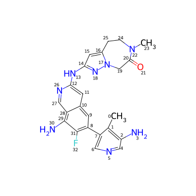 Cc1c(N)cncc1-c1cc2cc(Nc3cc4n(n3)CC(=O)N(C)CC4)ncc2c(N)c1F